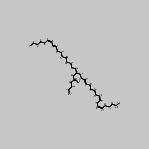 CCCCC/C=C\C=C\CCCCCCCCC(CC/C=C/CCCC/C=C\C/C=C\CCCCC)CC(=O)CCCBr